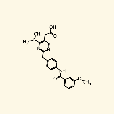 COc1cccc(C(=O)Nc2ccc(Cc3ncc(CC(=O)O)c(N(C)C)n3)cc2)c1